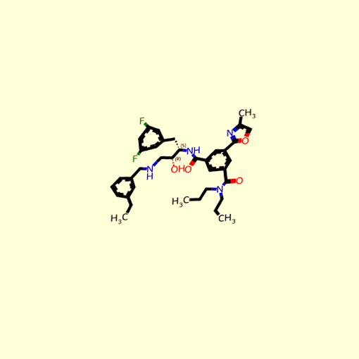 CCCN(CCC)C(=O)c1cc(C(=O)N[C@@H](Cc2cc(F)cc(F)c2)[C@H](O)CNCc2cccc(CC)c2)cc(-c2nc(C)co2)c1